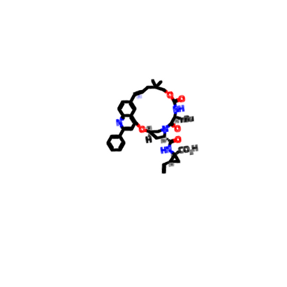 C=C[C@@H]1C[C@]1(NC(=O)[C@@H]1C[C@@H]2CN1C(=O)[C@H](CCCC)NC(=O)OCC(C)(C)C/C=C/c1ccc3nc(-c4ccccc4)cc(c3c1)O2)C(=O)O